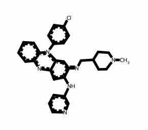 CN1CCC(C/N=c2\cc3n(-c4ccc(Cl)cc4)c4ccccc4nc-3cc2Nc2cccnc2)CC1